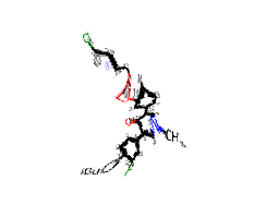 CC(C)COc1ccc(-c2cn(C)cc(-c3cccc(OC/C=C/CCl)c3)c2=O)cc1F